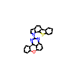 c1ccc2c(c1)Oc1cccc3nc(-n4ccc5ccc6c7ccccc7sc6c54)nc-2c13